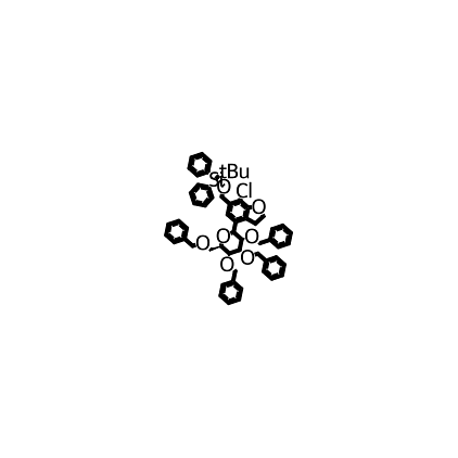 CC(C)(C)[Si](OCc1cc(C2O[C@H](COCc3ccccc3)[C@@H](OCc3ccccc3)[C@H](OCc3ccccc3)[C@H]2OCc2ccccc2)c2c(c1Cl)OCC2)(c1ccccc1)c1ccccc1